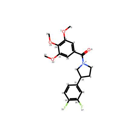 COc1cc(C(=O)N2CCC(c3ccc(F)c(F)c3)C2)cc(OC)c1OC